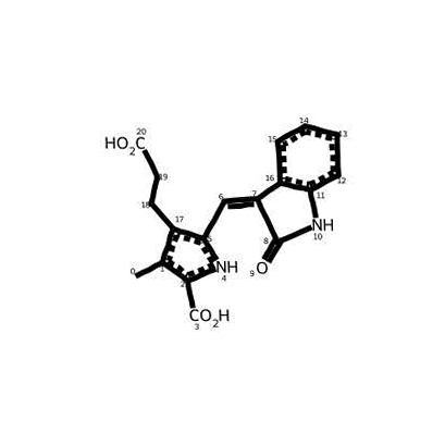 Cc1c(C(=O)O)[nH]c(C=C2C(=O)Nc3ccccc32)c1CCC(=O)O